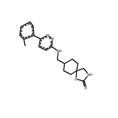 Cc1ccccc1-c1ccc(NCC2CCC3(CC2)CNC(=O)O3)nn1